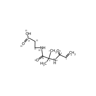 C=CC(=O)NC(C)(C)C(=O)NCCS(=O)O